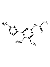 COc1c(-c2ccn(C)n2)cc(OC(N)=O)cc1[N+](=O)[O-]